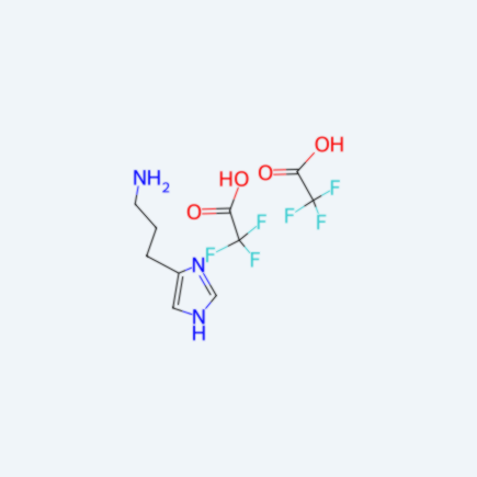 NCCCc1c[nH]cn1.O=C(O)C(F)(F)F.O=C(O)C(F)(F)F